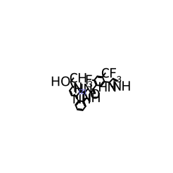 CC(O)C1=N/C(=C(\NC(=O)c2cc(C3C=CNN3)c(C(F)(F)F)cc2F)Nc2ccccc2)C(=N)C=C1